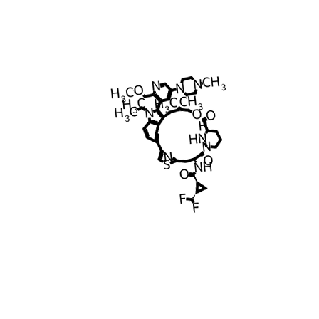 CCn1c(-c2cc(N3CCN(C)CC3)cnc2[C@H](C)OC)c2c3cc(ccc31)-c1csc(n1)C[C@H](NC(=O)[C@H]1C[C@@H]1C(F)F)C(=O)N1CCC[C@H](N1)C(=O)OCC(C)(C)C2